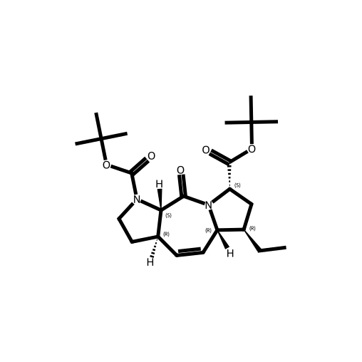 CC[C@@H]1C[C@@H](C(=O)OC(C)(C)C)N2C(=O)[C@@H]3[C@@H](C=C[C@@H]12)CCN3C(=O)OC(C)(C)C